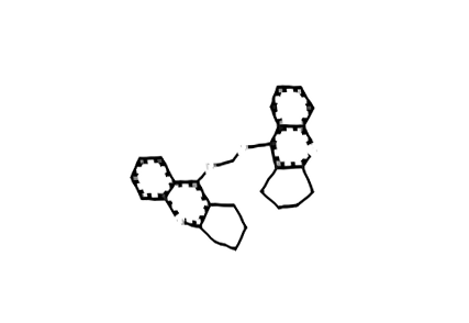 c1ccc2c(NCNc3c4c(nc5ccccc35)CCCC4)c3c(nc2c1)CCCC3